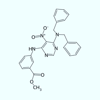 COC(=O)c1cccc(Nc2ncnc(N(Cc3ccccc3)Cc3ccccc3)c2[N+](=O)[O-])c1